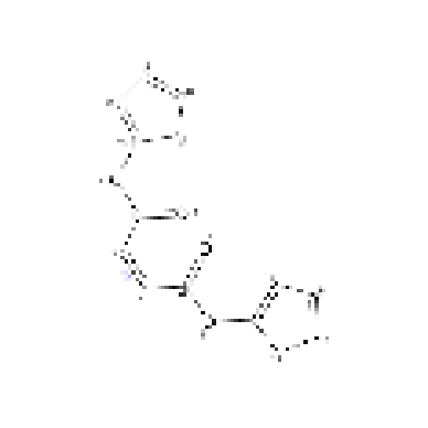 O=C(/C=C\C(=O)OC1=CC=CC1)OC1=CC=CC1